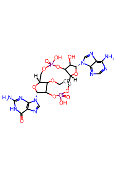 Nc1nc2c(ncn2[C@@H]2O[C@@H]3COP(=O)(O)OC4C(O)[C@H](n5cnc6c(N)ncnc65)O[C@@H]4COP(=O)(O)OC2C3OCC(F)(F)F)c(=O)[nH]1